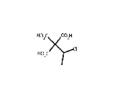 CC(Cl)C(C(=O)O)(C(=O)O)C(=O)O